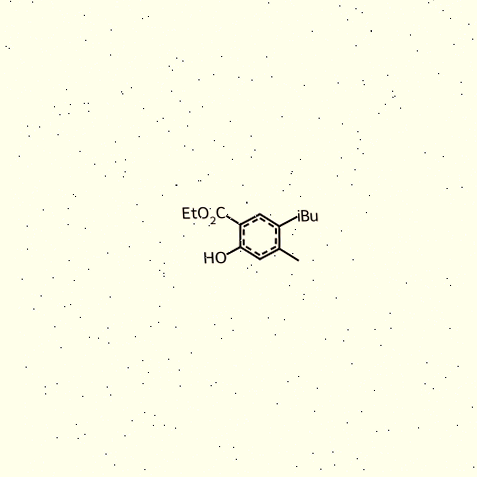 CCOC(=O)c1cc(C(C)CC)c(C)cc1O